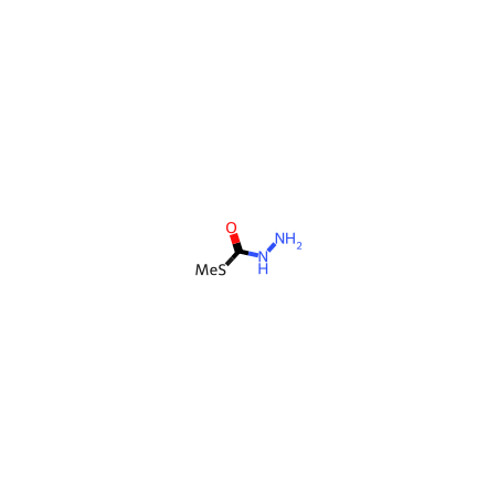 CSC(=O)NN